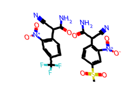 CS(=O)(=O)c1ccc(C(C#N)C(N)=O)c([N+](=O)[O-])c1.N#CC(C(N)=O)c1ccc(C(F)(F)F)cc1[N+](=O)[O-]